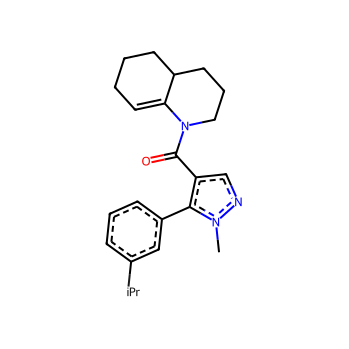 CC(C)c1cccc(-c2c(C(=O)N3CCCC4CCCC=C43)cnn2C)c1